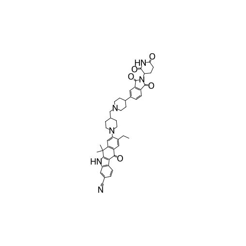 CCc1cc2c(cc1N1CCC(CN3CCC(c4ccc5c(c4)C(=O)N(C4CCC(=O)NC4=O)C5=O)CC3)CC1)C(C)(C)c1[nH]c3cc(C#N)ccc3c1C2=O